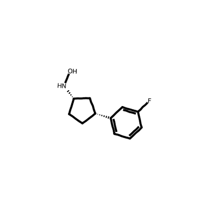 ON[C@H]1CC[C@@H](c2cccc(F)c2)C1